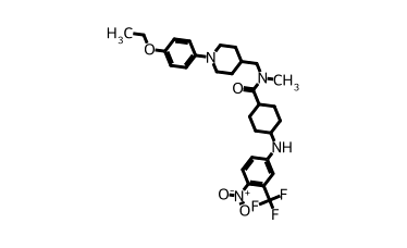 CCOc1ccc(N2CCC(CN(C)C(=O)C3CCC(Nc4ccc([N+](=O)[O-])c(C(F)(F)F)c4)CC3)CC2)cc1